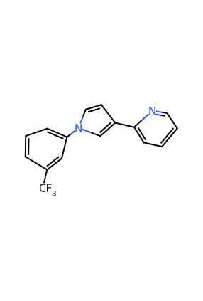 FC(F)(F)c1cccc(-n2ccc(-c3ccccn3)c2)c1